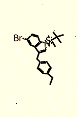 CCc1ccc(Cc2cn([Si](C)(C)C(C)(C)C)c3ccc(Br)cc23)cc1